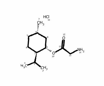 CC(C)[C@H]1CC[C@H](C)C[C@@H]1OC(=O)CN.Cl